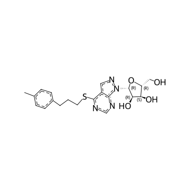 Cc1ccc(CCCSc2ncnc3c2cnn3[C@@H]2O[C@H](CO)[C@@H](O)[C@H]2O)cc1